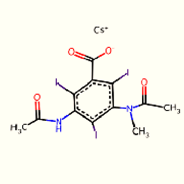 CC(=O)Nc1c(I)c(C(=O)[O-])c(I)c(N(C)C(C)=O)c1I.[Cs+]